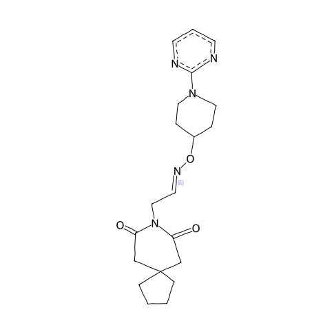 O=C1CC2(CCCC2)CC(=O)N1C/C=N/OC1CCN(c2ncccn2)CC1